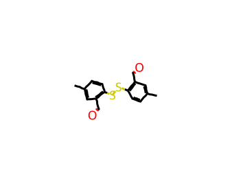 Cc1ccc(SSc2ccc(C)cc2C=O)c(C=O)c1